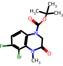 CN1C(=O)CN(C(=O)OC(C)(C)C)c2ccc(F)c(Br)c21